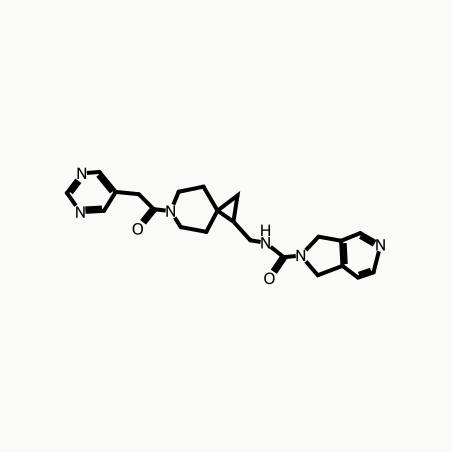 O=C(Cc1cncnc1)N1CCC2(CC1)CC2CNC(=O)N1Cc2ccncc2C1